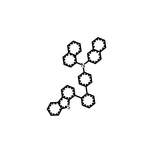 c1ccc(-c2cccc3c2sc2ccccc23)c(-c2ccc(N(c3ccc4ccccc4c3)c3cccc4ccccc34)cc2)c1